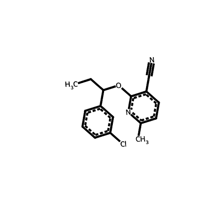 CCC(Oc1nc(C)ccc1C#N)c1cccc(Cl)c1